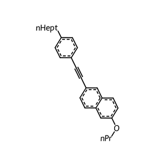 CCCCCCCc1ccc(C#Cc2ccc3cc(OCCC)ccc3c2)cc1